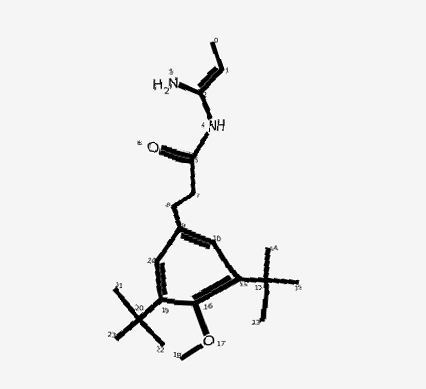 CC=C(N)NC(=O)CCc1cc(C(C)(C)C)c(OC)c(C(C)(C)C)c1